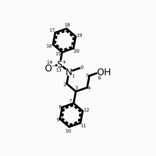 CN(CC(CCO)c1ccccc1)[S+]([O-])c1ccccc1